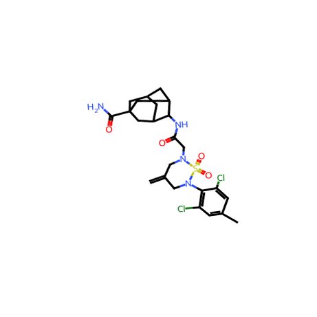 C=C1CN(CC(=O)NC2C3CC4CC2CC(C(N)=O)(C4)C3)S(=O)(=O)N(c2c(Cl)cc(C)cc2Cl)C1